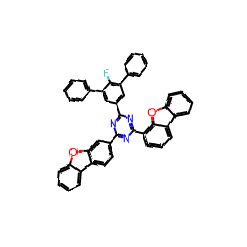 Fc1c(-c2ccccc2)cc(-c2nc(-c3ccc4c(c3)oc3ccccc34)nc(-c3cccc4c3oc3ccccc34)n2)cc1-c1ccccc1